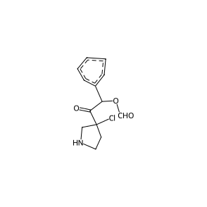 O=COC(C(=O)C1(Cl)CCNC1)c1ccccc1